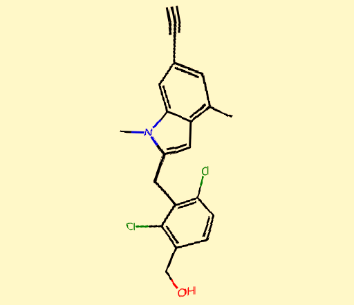 C#Cc1cc(C)c2cc(Cc3c(Cl)ccc(CO)c3Cl)n(C)c2c1